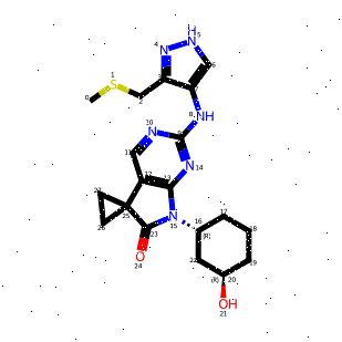 CSCc1n[nH]cc1Nc1ncc2c(n1)N([C@@H]1CCC[C@@H](O)C1)C(=O)C21CC1